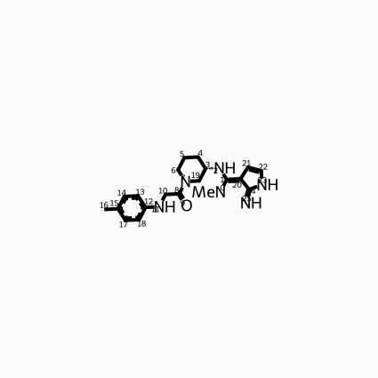 CN/C(N[C@H]1CCCN(C(=O)CNc2ccc(C)cc2)C1)=C1/C=CNC1=N